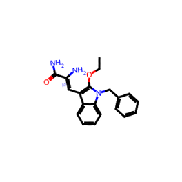 CCOc1c(/C=C(\N)C(N)=O)c2ccccc2n1Cc1ccccc1